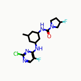 CC1CC(NC(=O)N2CCC(F)C2)CC(Nc2nc(Cl)ncc2F)C1